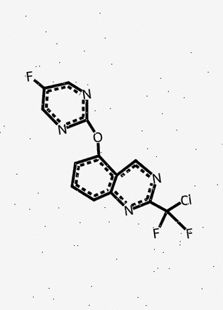 Fc1cnc(Oc2cccc3nc(C(F)(F)Cl)ncc23)nc1